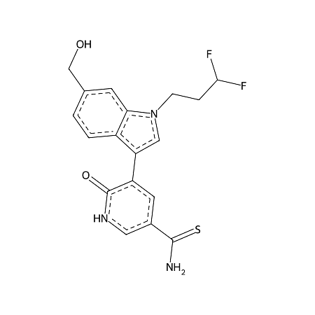 NC(=S)c1c[nH]c(=O)c(-c2cn(CCC(F)F)c3cc(CO)ccc23)c1